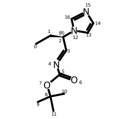 CC[C@H](C=NC(=O)OC(C)(C)C)n1ccnc1